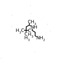 CC(CC(C)(C)C)NCCCN